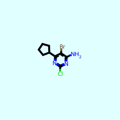 Nc1nc(Cl)nc(C2CCCC2)c1Br